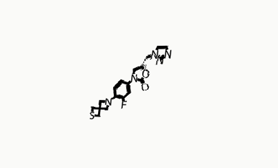 O=C1O[C@@H](Cn2ccnn2)CN1c1ccc(N2CC3(CSC3)C2)c(F)c1